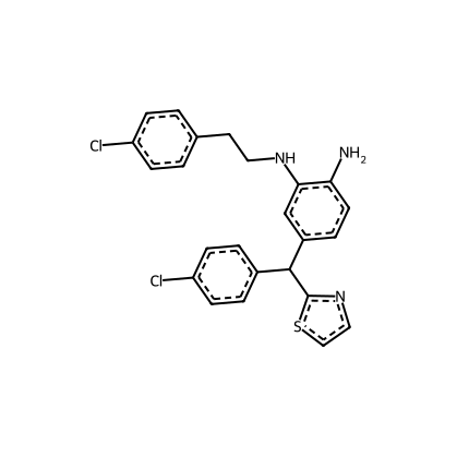 Nc1ccc(C(c2ccc(Cl)cc2)c2nccs2)cc1NCCc1ccc(Cl)cc1